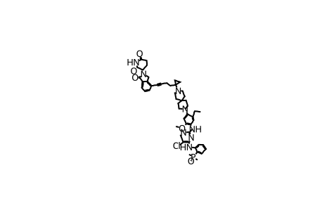 CCc1cc(Nc2ncc(Cl)c(Nc3ccccc3P(C)(C)=O)n2)c(OC)cc1N1CCC2(CC1)CCN(C1(CCC#Cc3cccc4c3CN(C3CCC(=O)NC3=O)C4=O)CC1)CC2